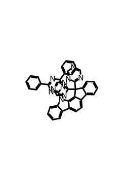 c1ccc(-c2nc(-c3ccccc3)nc(-n3c4ccccc4c4ccc5c(c43)C(c3ncncn3)(c3ncncn3)c3ccccc3-5)n2)cc1